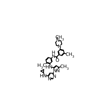 Cc1cc(C(=O)Nc2ccc(C)c(Nc3cc(C)nn3-c3cc(NC4CC4)ncn3)c2)cc(N2CCN(C)CC2)c1